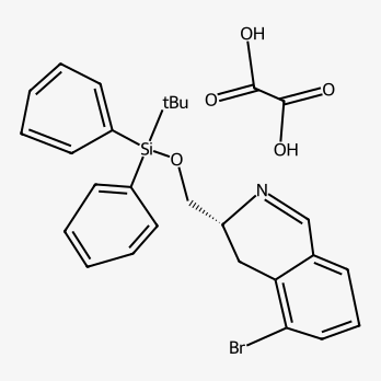 CC(C)(C)[Si](OC[C@H]1Cc2c(Br)cccc2C=N1)(c1ccccc1)c1ccccc1.O=C(O)C(=O)O